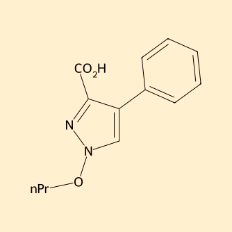 CCCOn1cc(-c2ccccc2)c(C(=O)O)n1